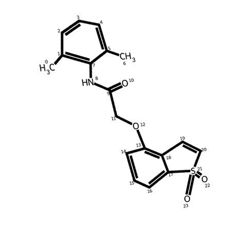 Cc1cccc(C)c1NC(=O)COc1cccc2c1C=CS2(=O)=O